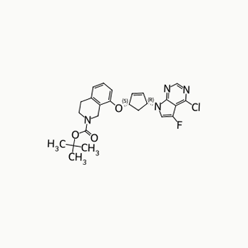 CC(C)(C)OC(=O)N1CCc2cccc(O[C@@H]3C=C[C@H](n4cc(F)c5c(Cl)ncnc54)C3)c2C1